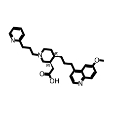 COc1ccc2nccc(CCC[C@@H]3CCN(CCCc4ccccn4)C[C@@H]3CC(=O)O)c2c1